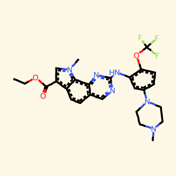 CCOC(=O)c1cn(C)c2c1ccc1cnc(Nc3cc(N4CCN(C)CC4)ccc3OC(F)(F)F)nc12